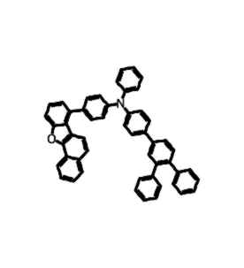 c1ccc(-c2ccc(-c3ccc(N(c4ccccc4)c4ccc(-c5cccc6oc7c8ccccc8ccc7c56)cc4)cc3)cc2-c2ccccc2)cc1